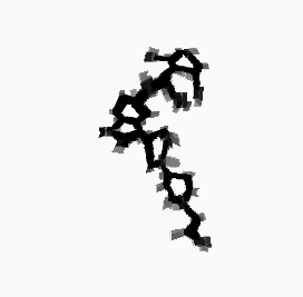 N[C@@H](Oc1ccc2[nH]nc(-c3cnn(C4CCN(CCO)CC4)c3)c2c1)c1c(Cl)cncc1Cl